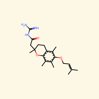 CC(C)=CCOc1c(C)c(C)c2c(c1C)CCC(C)(CC(=O)NC(=N)N)O2